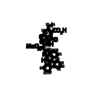 CO/N=C(\C(=O)NC1C(=O)N2C(C(=O)O)=C(CI)C[S+]([O-])[C@@H]12)c1csc(NC(c2ccccc2)(c2ccccc2)c2ccccc2)n1